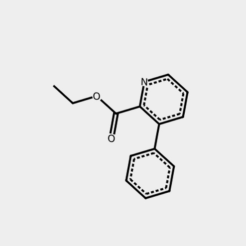 CCOC(=O)c1ncccc1-c1ccccc1